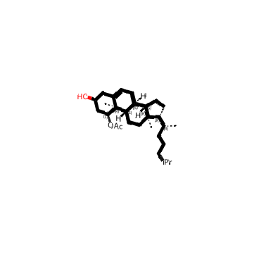 CC(=O)O[C@H]1CC(O)CC2=CC[C@H]3[C@@H]4CC[C@H]([C@H](C)CCCC(C)C)[C@@]4(C)CC[C@@H]3[C@]21C